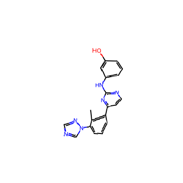 Cc1c(-c2ccnc(Nc3cccc(O)c3)n2)cccc1-n1cncn1